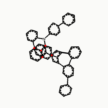 c1ccc(-c2ccc(N(c3cccc(-c4c5cc(-c6ccccc6)cc4-c4cc(-c6ccccc6)ccc4-c4ccccc4-5)c3)c3ccccc3-c3ccccc3)cc2)cc1